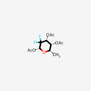 CC(=O)O[C@@H]1[C@H](C)O[C@H](OC(C)=O)C(F)(F)[C@@H]1OC(C)=O